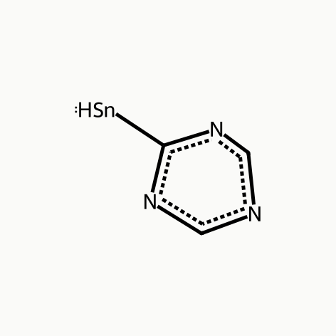 [SnH][c]1ncncn1